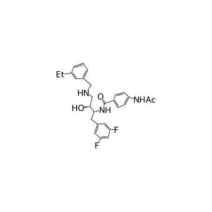 CCc1cccc(CNC[C@H](O)C(Cc2cc(F)cc(F)c2)NC(=O)c2ccc(NC(C)=O)cc2)c1